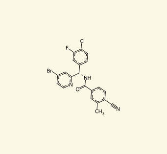 Cc1cc(C(=O)N[C@@H](c2ccc(Cl)c(F)c2)c2cc(Br)ccn2)ccc1C#N